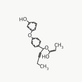 C/C=C(/O)OC(C#CCC)c1ccc(Oc2cccc(O)c2)cc1